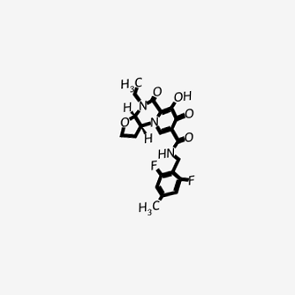 CCN1C(=O)c2c(O)c(=O)c(C(=O)NCc3c(F)cc(C)cc3F)cn2[C@@H]2CCO[C@@H]21